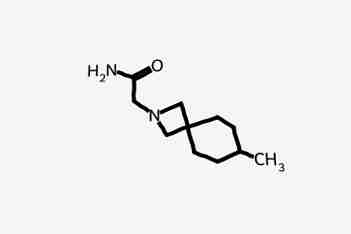 CC1CCC2(CC1)CN(CC(N)=O)C2